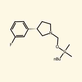 CCCC[Si](C)(C)OCN1CC[C@@H](c2cccc(F)c2)C1